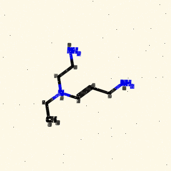 CCN(C=CCN)CCN